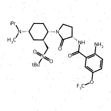 CC(C)N(C)[C@@H]1CC[C@H](N2CC[C@H](NC(=O)c3cc(OC(F)(F)F)ccc3N)C2=O)[C@@H](CS(=O)(=O)C(C)(C)C)C1